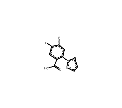 O=C(O)c1cc(F)c(F)cc1-n1nccn1